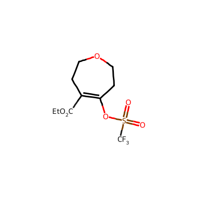 CCOC(=O)C1=C(OS(=O)(=O)C(F)(F)F)CCOCC1